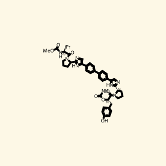 COC(=O)N[C@H](C(=O)N1CCCC1c1ncc(-c2ccc(-c3ccc(-c4cnc([C@@H]5CCCN5C(=O)[C@H](Cc5ccc(O)cc5)OC(N)=O)[nH]4)cc3)cc2)[nH]1)C(C)C